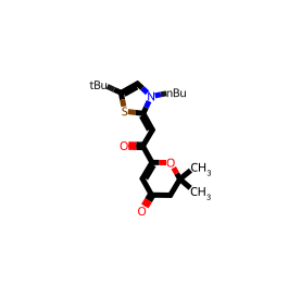 CCCCN1C=C(C(C)(C)C)SC1=CC(=O)C1=CC(=O)CC(C)(C)O1